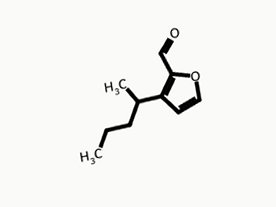 CCCC(C)c1ccoc1C=O